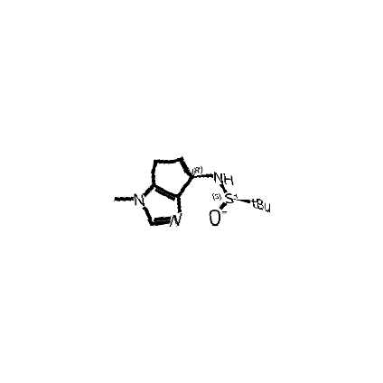 Cn1cnc2c1CC[C@H]2N[S@+]([O-])C(C)(C)C